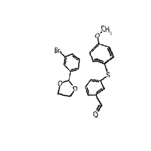 Brc1cccc(C2OCCO2)c1.COc1ccc(Sc2cccc(C=O)c2)cc1